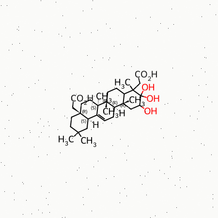 CC1(C)CC[C@]2(CC(=O)O)CC[C@]3(C)C(=CC[C@@H]4[C@@]5(C)CC(O)C(O)(O)C(C)(CC(=O)O)C5CC[C@]43C)[C@H]2C1